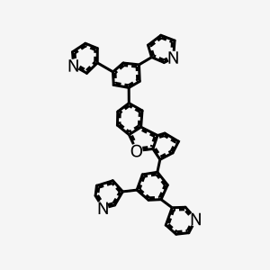 c1cncc(-c2cc(-c3cccnc3)cc(-c3ccc4oc5c(-c6cc(-c7cccnc7)cc(-c7cccnc7)c6)cccc5c4c3)c2)c1